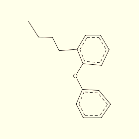 CCCCc1ccccc1Oc1ccccc1